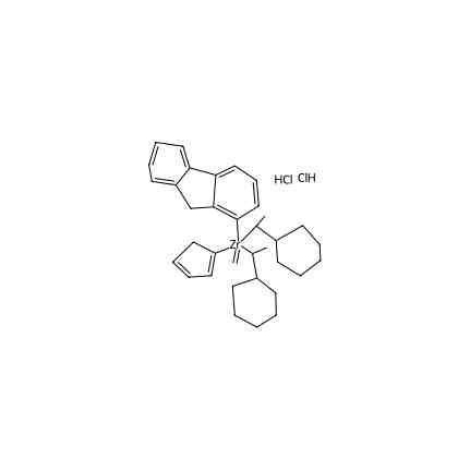 Cl.Cl.[CH2]=[Zr]([C]1=CC=CC1)([c]1cccc2c1Cc1ccccc1-2)([CH](C)C1CCCCC1)[CH](C)C1CCCCC1